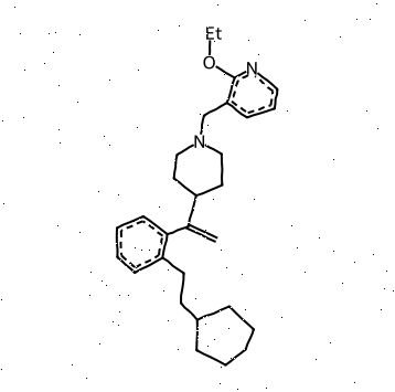 C=C(c1ccccc1CCC1CCCCC1)C1CCN(Cc2cccnc2OCC)CC1